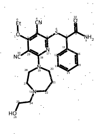 CCOc1c(C#N)c(SC(C(N)=O)c2ccccc2)nc(N2CCCN(CCO)CC2)c1C#N